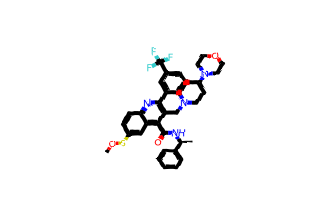 COSc1ccc2nc(-c3cccc(C(F)(F)F)c3)c(CN3CCC(N4CCOCC4)CC3)c(C(=O)N[C@@H](C)c3ccccc3)c2c1